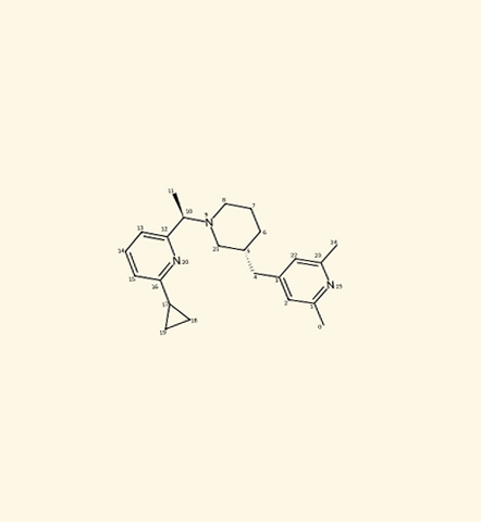 Cc1cc(C[C@H]2CCCN([C@H](C)c3cccc(C4CC4)n3)C2)cc(C)n1